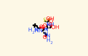 CC(C)(C)C[C@H](N)C(=O)N[C@@H](CCC(N)=O)C(=O)N[C@@H](CC(=O)O)C(=O)N[C@@H](CS)C(=O)O